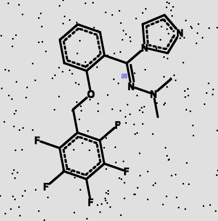 CN(C)/N=C(/c1ccccc1OCc1c(F)c(F)c(F)c(F)c1F)n1ccnc1